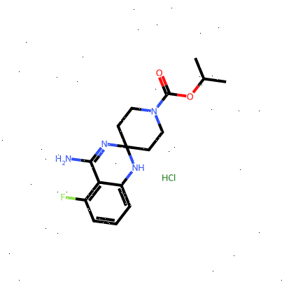 CC(C)OC(=O)N1CCC2(CC1)N=C(N)c1c(F)cccc1N2.Cl